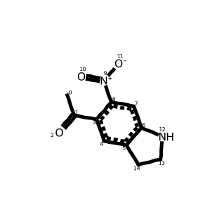 CC(=O)c1cc2c(cc1[N+](=O)[O-])NCC2